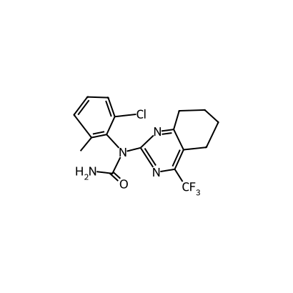 Cc1cccc(Cl)c1N(C(N)=O)c1nc2c(c(C(F)(F)F)n1)CCCC2